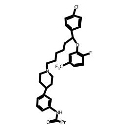 CC(C)C(=O)Nc1cccc(C2CCN(CCCCCC(Oc3cc(C(F)(F)F)ccc3F)c3ccc(Cl)cc3)CC2)c1